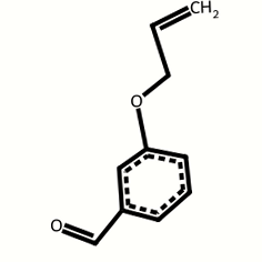 C=CCOc1cccc(C=O)c1